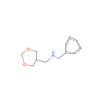 c1ccc(CNCC2COCOC2)cc1